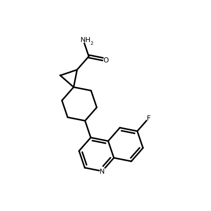 NC(=O)C1CC12CCC(c1ccnc3ccc(F)cc13)CC2